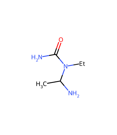 CCN(C(N)=O)C(C)N